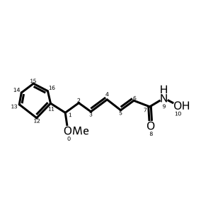 COC(C/C=C/C=C/C(=O)NO)c1ccccc1